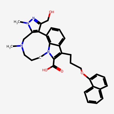 CN1CCCn2c(C(=O)O)c(CCCOc3cccc4ccccc34)c3cccc(c32)-c2c(CO)nn(C)c2C1